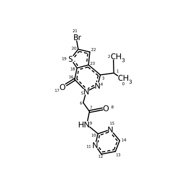 CC(C)c1nn(CC(=O)Nc2ncccn2)c(=O)c2sc(Br)cc12